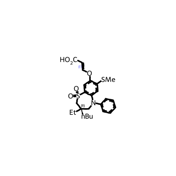 CCCC[C@]1(CC)CN(c2ccccc2)c2cc(SC)c(O/C=C/C(=O)O)cc2S(=O)(=O)C1